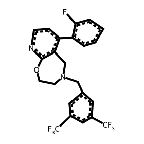 Fc1ccccc1-c1ccnc2c1CN(Cc1cc(C(F)(F)F)cc(C(F)(F)F)c1)CCO2